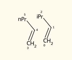 C=CC(C)C.C=CCCC